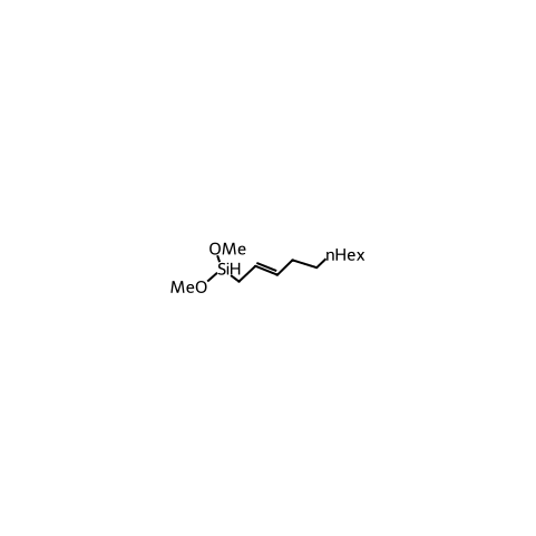 CCCCCCCCC=CC[SiH](OC)OC